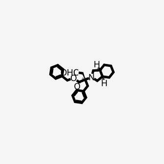 O=CC[C@@](Cc1ccccc1)(C(=O)OCc1ccccc1)N1C[C@H]2CCCC[C@H]2C1